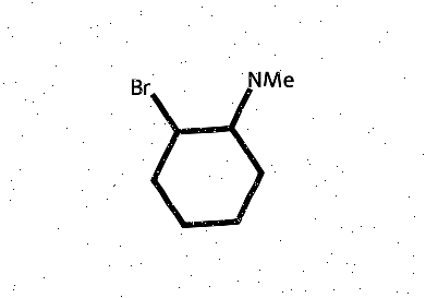 CNC1CCCCC1Br